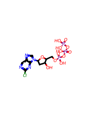 O=P(O)(O)OP(=O)(O)OP(=O)(O)OCC1OC(n2cnc3cnc(Cl)nc32)CC1O